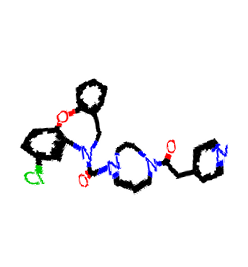 O=C(Cc1ccncc1)N1CCCN(C(=O)N2Cc3ccccc3Oc3ccc(Cl)cc32)CC1